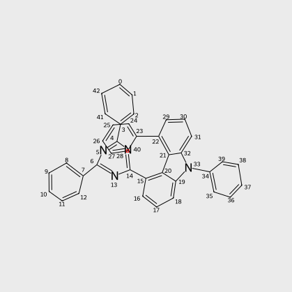 c1ccc(-c2nc(-c3ccccc3)nc(-c3cccc4c3c3c(-c5ccccc5)cccc3n4-c3ccccc3)n2)cc1